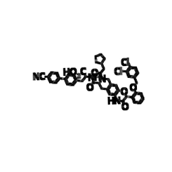 N#Cc1ccc(-c2ccc(C[C@H](NC(=O)C3Cc4cc5c(cc4CN3C(=O)CC3CCCC3)O[C@@H](c3ccccc3OCc3ccc(Cl)c(Cl)c3)C(=O)N5)C(=O)O)cc2)cc1